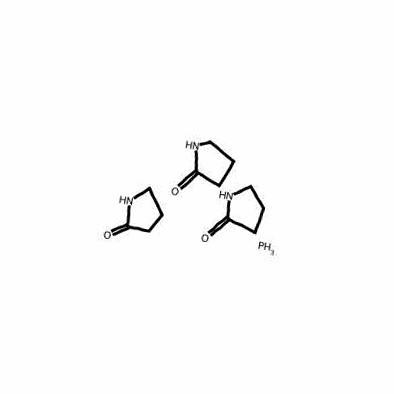 O=C1CCCN1.O=C1CCCN1.O=C1CCCN1.P